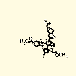 C=CC(=O)N1CCc2nc(-c3nc(-c4cnc5c(c4)CN(CC(F)F)CC5)c4ccsc4c3-c3c(F)cc(F)cc3OCCOC)sc2C1